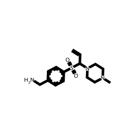 C=CC(N1CCN(C)CC1)S(=O)(=O)c1ccc(CN)cc1